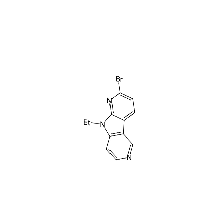 CCn1c2ccncc2c2ccc(Br)nc21